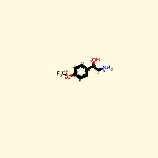 NCC(O)c1ccc(OC(F)(F)F)cc1